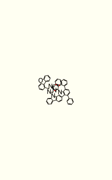 c1ccc(-c2nc(-c3cccc4oc5ccccc5c34)nc(-n3c4ccccc4c4ccc5c6c(-c7ccccc7)ccc7c6n(c5c43)-c3ccccc3-c3ccccc3-7)n2)cc1